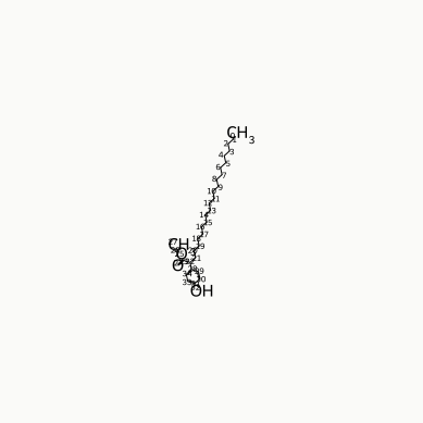 CCCCCCCCCCCCCCCCCCCCCCC(C(=O)OCC)c1ccc(O)cc1